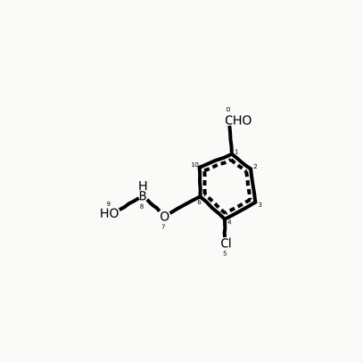 O=Cc1ccc(Cl)c(OBO)c1